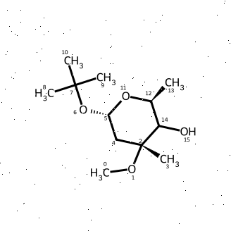 CO[C@]1(C)C[C@H](OC(C)(C)C)O[C@@H](C)C1O